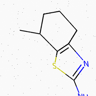 CC1CCCc2nc(N)sc21